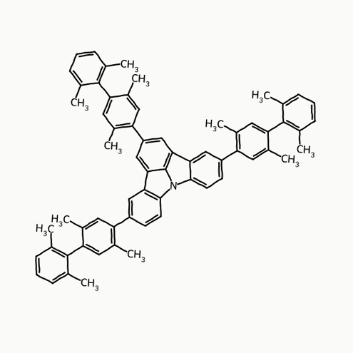 Cc1cc(-c2c(C)cccc2C)c(C)cc1-c1ccc2c(c1)c1cc(-c3cc(C)c(-c4c(C)cccc4C)cc3C)cc3c4cc(-c5cc(C)c(-c6c(C)cccc6C)cc5C)ccc4n2c13